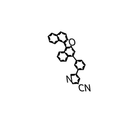 N#Cc1cncc(-c2cccc(-c3cc4oc5ccc6ccccc6c5c4c4ccccc34)c2)c1